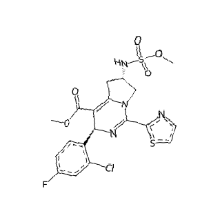 COC(=O)C1=C2C[C@H](NS(=O)(=O)OC)CN2C(c2nccs2)=N[C@H]1c1ccc(F)cc1Cl